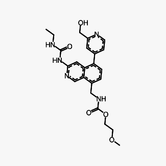 CCNC(=O)Nc1cc2c(-c3ccnc(CO)c3)ccc(CNC(=O)OCCOC)c2cn1